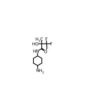 CC(O)(C(=O)NC1CCC(N)CC1)C(F)(F)F